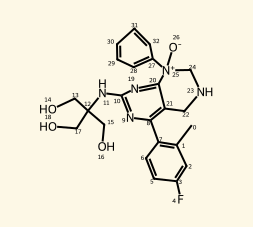 Cc1cc(F)ccc1-c1nc(NC(CO)(CO)CO)nc2c1CNC[N+]2([O-])c1ccccc1